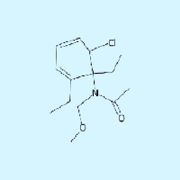 CCC1=CC=CC(Cl)C1(CC)N(COC)C(C)=O